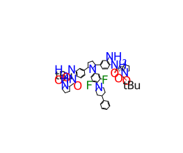 CC(C)(C)OC(=O)N1CCCC1C(=O)Nc1ccc(C2CCC(c3ccc(NC(=O)[C@@H]4CCCN4C(=O)OC(C)(C)C)c(N)c3)N2c2cc(F)c(N3CCC(c4ccccc4)CC3)c(F)c2)cc1N